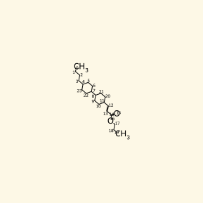 CCCCC1CCC(C2CCC(/C=C/C(=O)OCCC)CC2)CC1